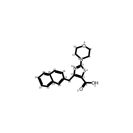 O=C(O)c1sc(N2CCOCC2)nc1Cc1ccc2ccccc2c1